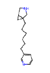 c1cncc(CCCCCCC23CNCC2C3)c1